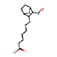 O=C(O)CCCCCCC1C2CCC(C2)C1CO